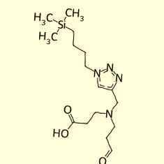 C[Si](C)(C)CCCCn1cc(CN(CCC=O)CCC(=O)O)nn1